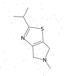 CC(C)c1nc2c(s1)CN(C)C2